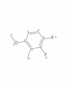 COc1ccc(F)c(F)c1C